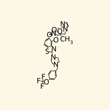 CC1([C@H](Oc2cccc3sc(N4CCN(Cc5ccc(OC(F)(F)F)cc5)CC4)nc23)[N+](=O)[O-])Cn2ccnc2O1